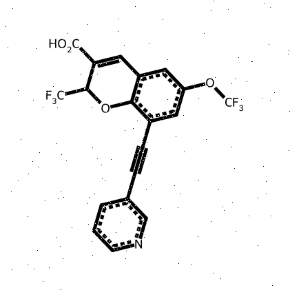 O=C(O)C1=Cc2cc(OC(F)(F)F)cc(C#Cc3cccnc3)c2OC1C(F)(F)F